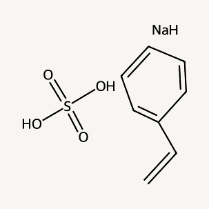 C=Cc1ccccc1.O=S(=O)(O)O.[NaH]